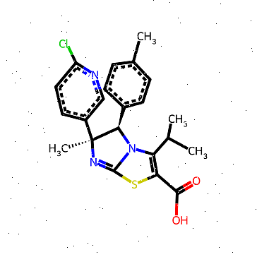 Cc1ccc([C@H]2N3C(=N[C@@]2(C)c2ccc(Cl)nc2)SC(C(=O)O)=C3C(C)C)cc1